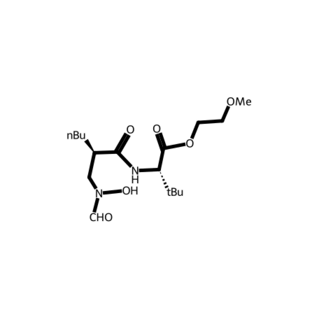 CCCC[C@H](CN(O)C=O)C(=O)N[C@H](C(=O)OCCOC)C(C)(C)C